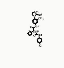 Cc1cc(NC(=O)[C@@H](NC(=O)Nc2ccc(Cl)cc2)c2cccs2)ccc1N1CCNC1=N